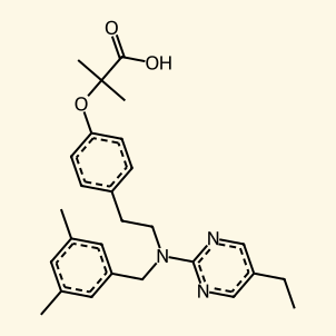 CCc1cnc(N(CCc2ccc(OC(C)(C)C(=O)O)cc2)Cc2cc(C)cc(C)c2)nc1